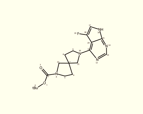 CC(C)(C)OC(=O)N1CCC2(CCN(c3ncnc4[nH]cc(F)c34)C2)C1